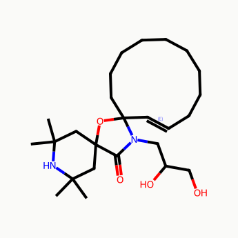 CC1(C)CC2(CC(C)(C)N1)OC1(/C=C/CCCCCCCCC1)N(CC(O)CO)C2=O